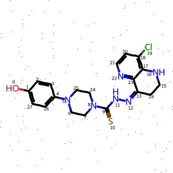 Oc1ccc(N2CCN(C(=S)N/N=C3/CCNc4c(Cl)ccnc43)CC2)cc1